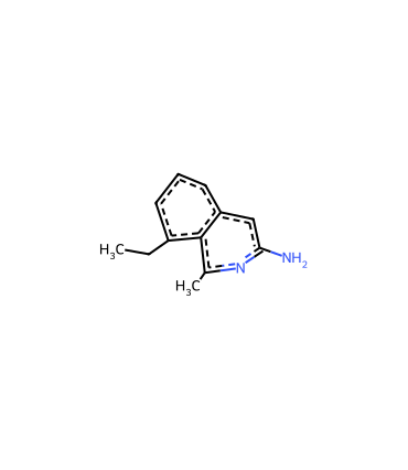 CCc1cccc2cc(N)nc(C)c12